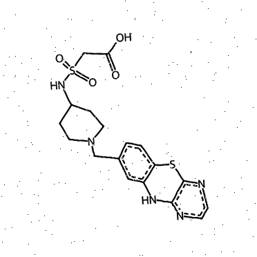 O=C(O)CS(=O)(=O)NC1CCN(Cc2ccc3c(c2)Nc2nccnc2S3)CC1